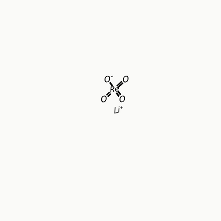 [Li+].[O]=[Re](=[O])(=[O])[O-]